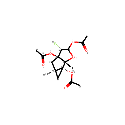 CC(=O)OC1O[C@@H]2[C@@]3(OC(C)=O)C[C@H]3C[C@]2(OC(C)=O)[C@@H]1F